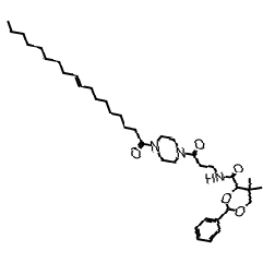 CCCCCCCCC=CCCCCCCCC(=O)N1CCN(C(=O)CCNC(=O)C2OC(c3ccccc3)OCC2(C)C)CC1